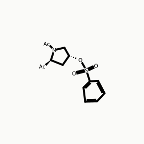 CC(=O)[C@@H]1C[C@@H](OS(=O)(=O)c2ccccc2)CN1C(C)=O